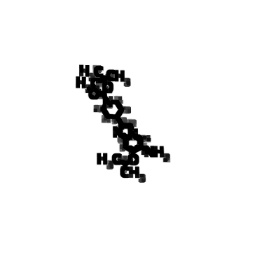 CC(C)Oc1cc2nc(C3CCN(C(=O)OC(C)(C)C)CC3)cn2cc1N